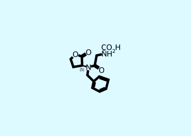 O=C(O)NCC(=O)N(Cc1ccccc1)[C@H]1CCOC1=O